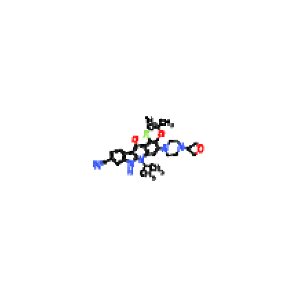 CC(C)Oc1c(N2CCN(C3COC3)CC2)cc2c(c1F)c(=O)c1c3ccc(C#N)cc3[nH]c1n2C(C)C